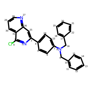 Clc1nc(-c2ccc(N(Cc3ccccc3)Cc3ccccc3)cc2)cc2ncccc12